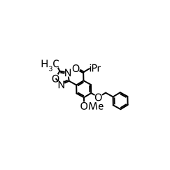 COc1cc(-c2noc(C)n2)c(C(=O)C(C)C)cc1OCc1ccccc1